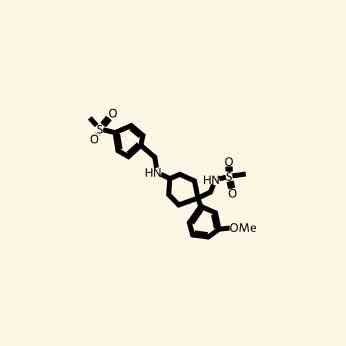 COc1cccc(C2(CNS(C)(=O)=O)CCC(NCc3ccc(S(C)(=O)=O)cc3)CC2)c1